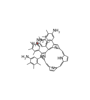 Cc1c(N)cc(C2=Cc3cc4ccc(cc5nc(cc6[nH]c(c(-c7cc(N)c(C)c(C)c7C)c2n3)c(-c2cc(N)c(C)c(C)c2C)c6-c2cc(N)c(C)c(C)c2C)C=C5)[nH]4)c(C)c1C